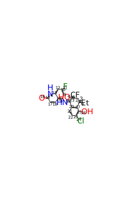 CC[C@@H]1C[C@](O)(C(F)(F)F)[C@@H](Nc2cc(F)cc3[nH]c(=O)ccc23)c2ccc(Cl)c(O)c21